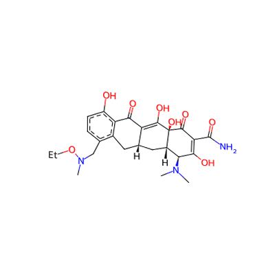 CCON(C)Cc1ccc(O)c2c1C[C@H]1C[C@H]3[C@H](N(C)C)C(O)=C(C(N)=O)C(=O)[C@@]3(O)C(O)=C1C2=O